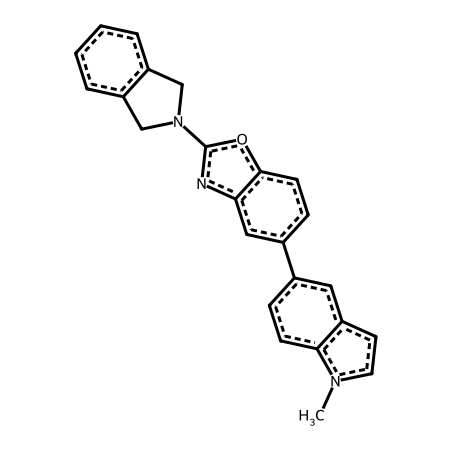 Cn1ccc2cc(-c3ccc4oc(N5Cc6ccccc6C5)nc4c3)ccc21